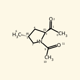 CC(=O)[C@@H]1C[C@@H](C)CN1C(C)=O